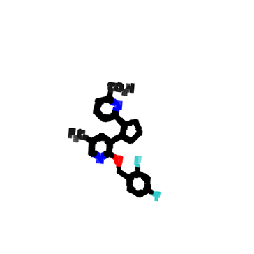 O=C(O)c1cccc(C2=C(c3cc(C(F)(F)F)cnc3OCc3ccc(F)cc3F)CCC2)n1